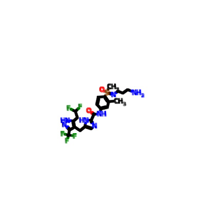 Cc1cc(NC(=O)c2ncc(Cc3c(C(F)(F)F)n[nH]c3CC(F)F)[nH]2)ccc1S(C)(=O)=NCCCN